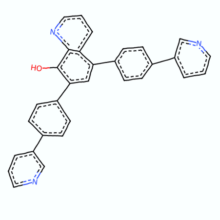 Oc1c(-c2ccc(-c3cccnc3)cc2)cc(-c2ccc(-c3cccnc3)cc2)c2cccnc12